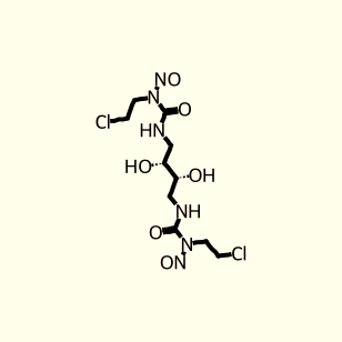 O=NN(CCCl)C(=O)NC[C@@H](O)[C@H](O)CNC(=O)N(CCCl)N=O